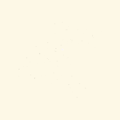 CCC(C)CC1=CC2=[N+](CC1[Si](C)(C)C)C1/C(=C3\c4ccc5c6c(oc5c4-c4n(C5C=C7C8=C(C=CC[C@@H]8C)SC7CC5)c5c([n+]43)CCC=C5)C(F)CC(C3C=CC=CC3)=C6)C1C1=C2C=CCC1